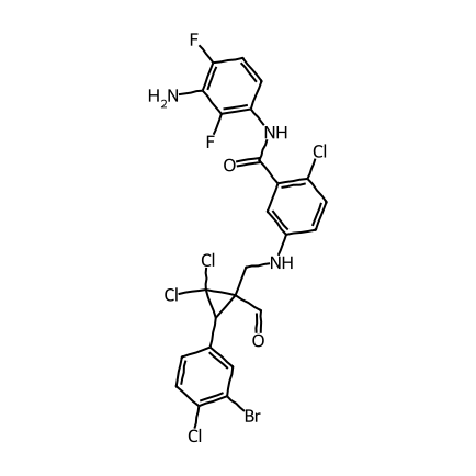 Nc1c(F)ccc(NC(=O)c2cc(NCC3(C=O)C(c4ccc(Cl)c(Br)c4)C3(Cl)Cl)ccc2Cl)c1F